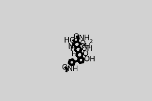 CC(=O)Nc1cccc(-c2ccc(O)c3c2C[C@@H]2C[C@@H]4[C@@H](N(C)C)C(O)=C(C(N)=O)C(=O)[C@]4(O)C(O)=C2C3=O)c1